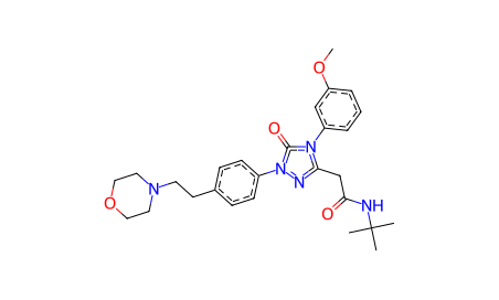 COc1cccc(-n2c(CC(=O)NC(C)(C)C)nn(-c3ccc(CCN4CCOCC4)cc3)c2=O)c1